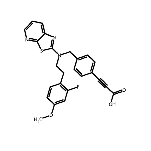 COc1ccc(CCN(Cc2ccc(C#CC(=O)O)cc2)c2nc3cccnc3s2)c(F)c1